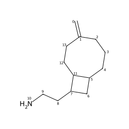 C=C1CCCC2CC(CCN)C2CC1